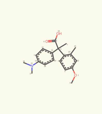 COc1ccc(C(C)(C(=O)O)c2ccc(N(C)C)cc2)c(C)c1